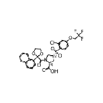 O=C(O)[C@@H]1C[C@@H](S(=O)(=O)c2ccc(OCC(F)(F)F)cc2Cl)CN1C(=O)C1(c2cccc3ccccc23)OCCO1